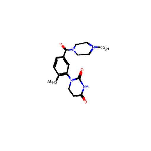 COc1ccc(C(=O)N2CCN(C(=O)O)CC2)cc1N1CCC(=O)NC1=O